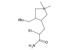 CCC(CC1C[N+](C)(C)CC1CC(C)(C)C)C(N)=O